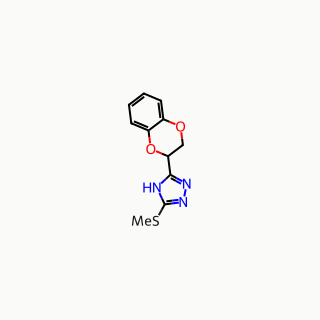 CSc1nnc(C2COc3ccccc3O2)[nH]1